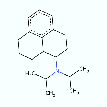 CC(C)N(C(C)C)C1CCc2cccc3c2C1CCC3